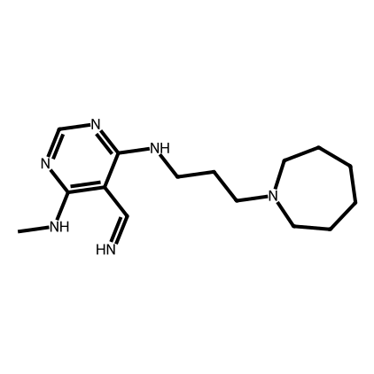 CNc1ncnc(NCCCN2CCCCCC2)c1C=N